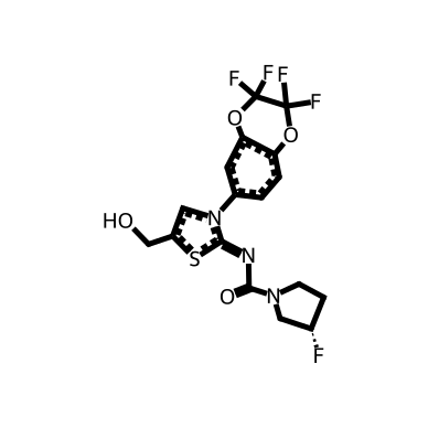 O=C(/N=c1\sc(CO)cn1-c1ccc2c(c1)OC(F)(F)C(F)(F)O2)N1CC[C@H](F)C1